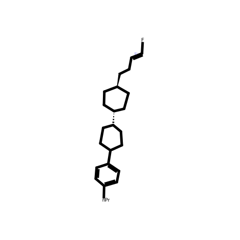 CCCc1ccc(C2CCC([C@H]3CC[C@H](CC/C=C/F)CC3)CC2)cc1